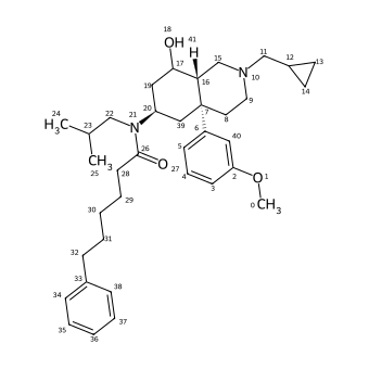 COc1cccc([C@@]23CCN(CC4CC4)C[C@H]2C(O)C[C@H](N(CC(C)C)C(=O)CCCCCc2ccccc2)C3)c1